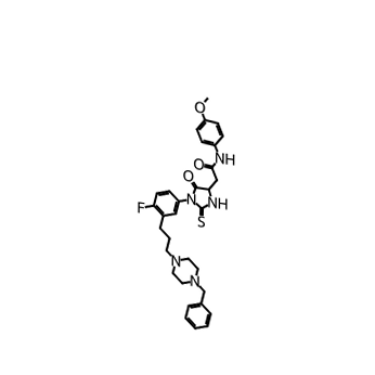 COc1ccc(NC(=O)CC2NC(=S)N(c3ccc(F)c(CCCN4CCN(Cc5ccccc5)CC4)c3)C2=O)cc1